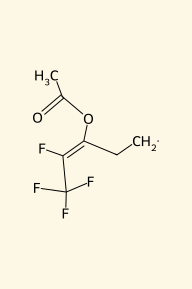 [CH2]CC(OC(C)=O)=C(F)C(F)(F)F